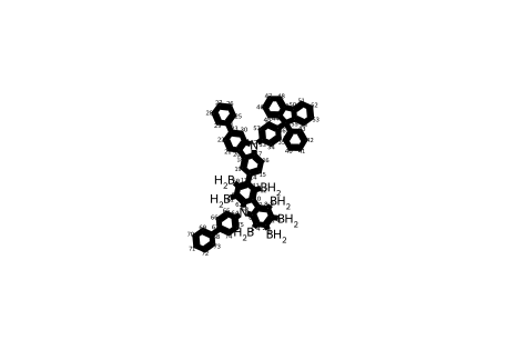 Bc1c(B)c(B)c2c(c1B)c1c(B)c(-c3ccc4c(c3)c3ccc(-c5ccccc5)cc3n4-c3ccc(C4(c5ccccc5)c5ccccc5-c5ccccc54)cc3)c(B)c(B)c1n2-c1ccc(-c2ccccc2)cc1